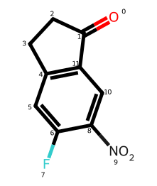 O=C1CCc2cc(F)c([N+](=O)[O-])cc21